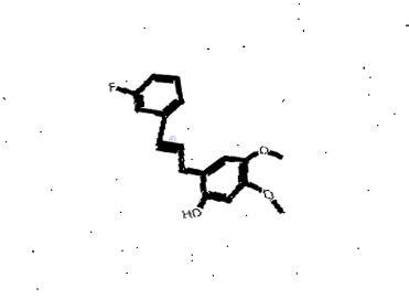 COc1cc(O)c(C/C=C/c2cccc(F)c2)cc1OC